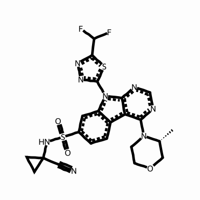 C[C@@H]1COCCN1c1ncnc2c1c1ccc(S(=O)(=O)NC3(C#N)CC3)cc1n2-c1nnc(C(F)F)s1